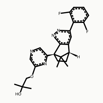 CC(C)(O)COc1cncc([C@@]23CC[C@@H](c4cc(-c5c(F)cccc5F)nnc42)C3(C)C)n1